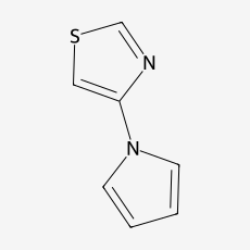 c1ccn(-c2cscn2)c1